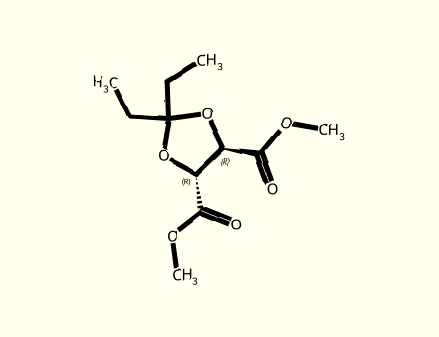 CCC1(CC)O[C@@H](C(=O)OC)[C@H](C(=O)OC)O1